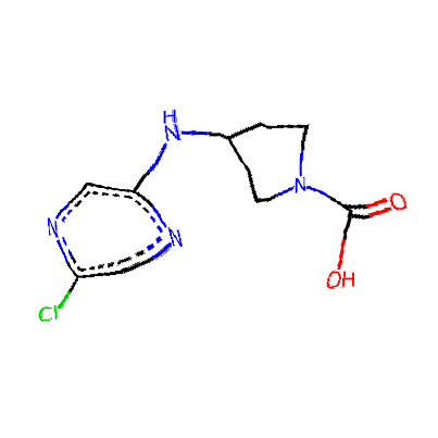 O=C(O)N1CCC(Nc2cnc(Cl)cn2)C1